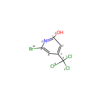 Oc1cc(C(Cl)(Cl)Cl)cc(Br)n1